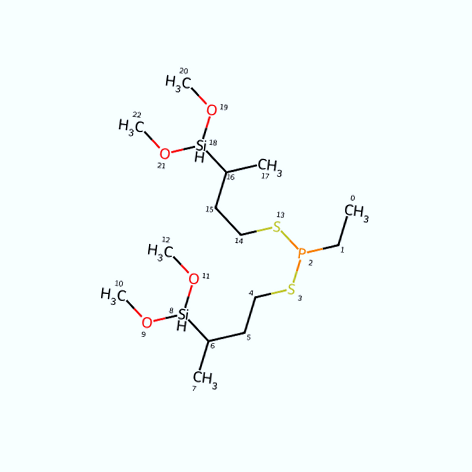 CCP(SCCC(C)[SiH](OC)OC)SCCC(C)[SiH](OC)OC